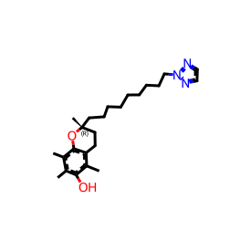 Cc1c(C)c2c(c(C)c1O)CC[C@@](C)(CCCCCCCCCn1nccn1)O2